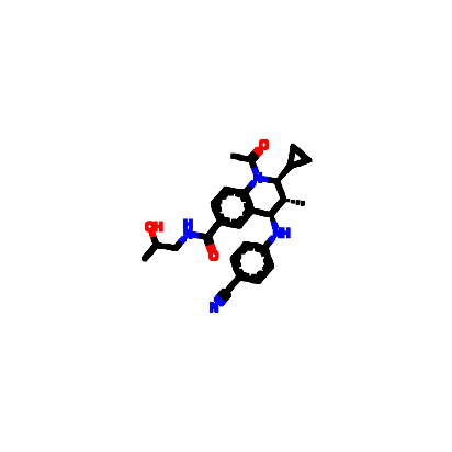 CC(=O)N1c2ccc(C(=O)NCC(C)O)cc2[C@H](Nc2ccc(C#N)cc2)[C@@H](C)[C@@H]1C1CC1